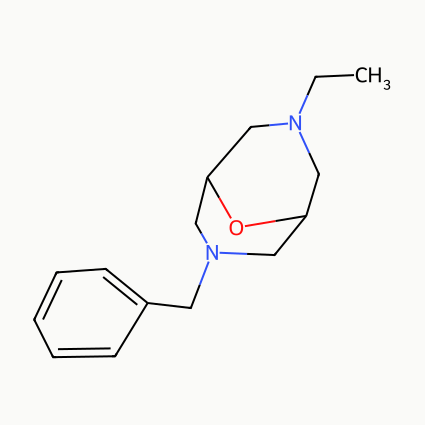 CCN1CC2CN(Cc3ccccc3)CC(C1)O2